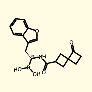 O=C(N[C@@H](Cc1coc2ccccc12)B(O)O)C1CC2(CCC2=O)C1